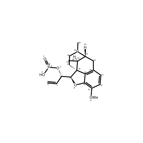 C=C[C@H](O[PH](=O)O)[C@@H]1Oc2c(OC)ccc3c2[C@@]12CCN(C)[C@H](C3)[C@@H]2C